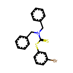 S=C(Sc1cccc(Br)c1)N(Cc1ccccc1)Cc1ccccc1